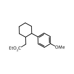 CCOC(=O)CC1CCCCC1c1ccc(OC)cc1